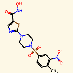 Cc1ccc(S(=O)(=O)N2CCN(c3ncc(C(=O)NO)s3)CC2)cc1[N+](=O)[O-]